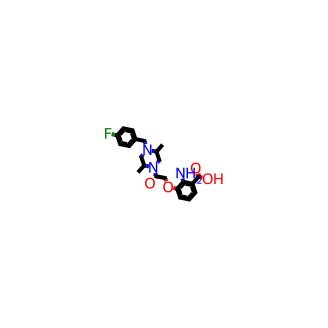 CC1CN(C(=O)COc2cccc(C(=O)O)c2N)C(C)CN1Cc1ccc(F)cc1